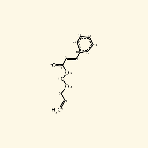 C=CCOOOC(=O)/C=C/c1ccccc1